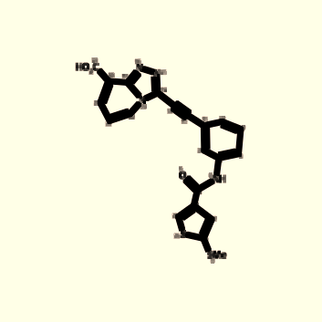 CSc1cc(C(=O)Nc2cccc(C#Cc3nnc4c(C(=O)O)cccn34)c2)cs1